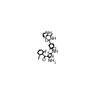 CC(NC(=O)c1ccc(Nc2nc(N)c(C(=O)c3c(F)cccc3F)s2)cc1)c1ncc[nH]1.Cl